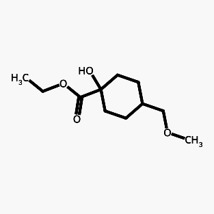 CCOC(=O)C1(O)CCC(COC)CC1